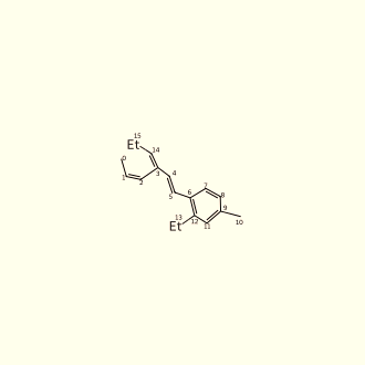 C\C=C/C(/C=C/c1ccc(C)cc1CC)=C\CC